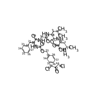 CC(C)C[C@H](NC(=O)[C@H](CC(C)C)NC(=O)CNC(=O)[C@H](Cc1ccccc1)NC(=O)OCc1ccccc1)C(=O)O.O=C(CCl)CCl